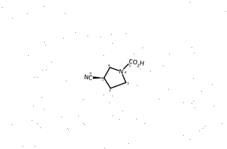 N#C[C@@H]1CCN(C(=O)O)C1